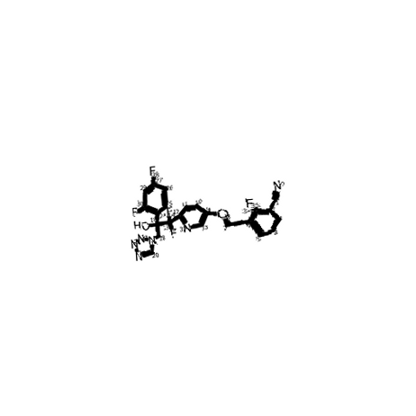 N#Cc1cccc(COc2ccc(C(F)(F)C(O)(Cn3cnnn3)c3ccc(F)cc3F)nc2)c1F